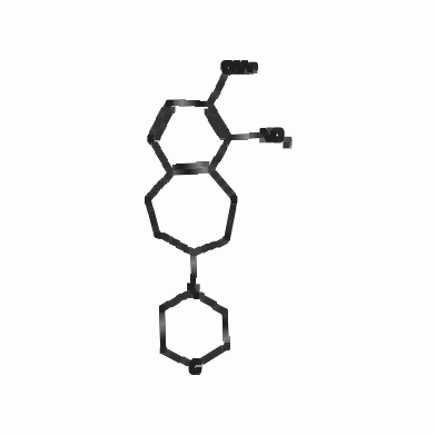 COc1ccc2c(c1[N+](=O)[O-])CCC(N1CCOCC1)CC2